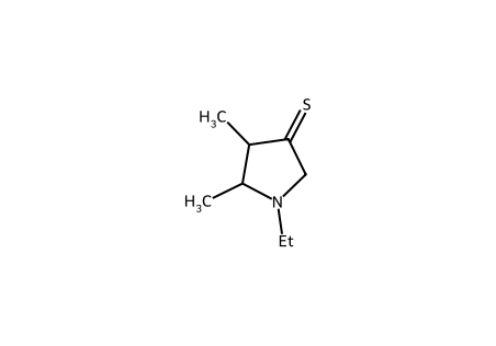 CCN1CC(=S)C(C)C1C